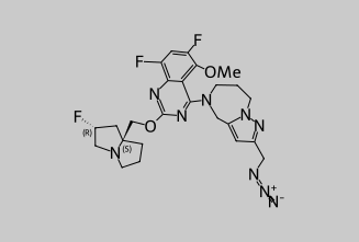 COc1c(F)cc(F)c2nc(OC[C@@]34CCCN3C[C@H](F)C4)nc(N3CCCn4nc(CN=[N+]=[N-])cc4C3)c12